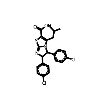 CC(C)CC1=C(C(=O)O)SC2=NC(c3ccc(Cl)cc3)C(c3ccc(Cl)cc3)N21